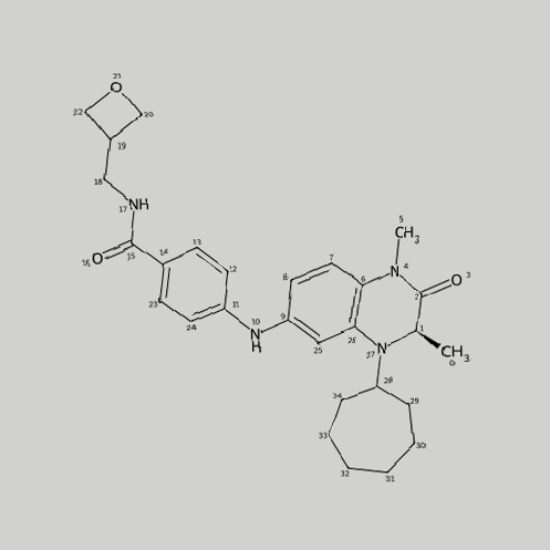 C[C@@H]1C(=O)N(C)c2ccc(Nc3ccc(C(=O)NCC4COC4)cc3)cc2N1C1CCCCCC1